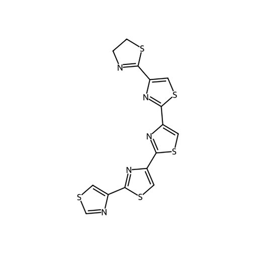 c1nc(-c2nc(-c3nc(-c4nc(C5=NCCS5)cs4)cs3)cs2)cs1